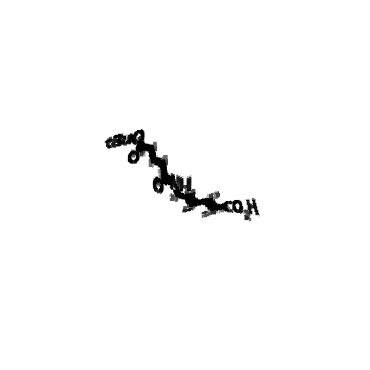 CC(C)(C)OC(=O)CCCC(=O)NCCCCCC(=O)O